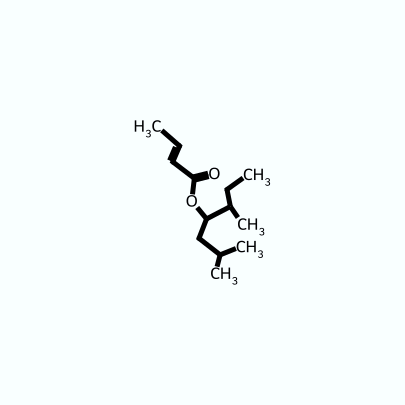 C/C=C/C(=O)OC(CC(C)C)C(C)CC